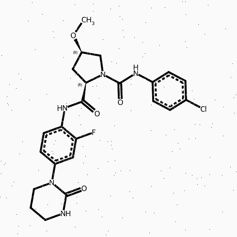 CO[C@@H]1C[C@H](C(=O)Nc2ccc(N3CCCNC3=O)cc2F)N(C(=O)Nc2ccc(Cl)cc2)C1